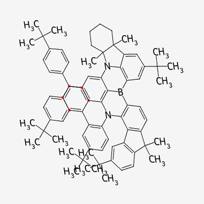 CC(C)(C)c1ccc(C(c2ccc(C(C)(C)C)cc2)c2cc3c4c(c2)N2c5c(cc(C(C)(C)C)cc5C5(C)CCCCC25C)B4c2ccc4c(c2N3c2ccc(C(C)(C)C)cc2-c2ccccc2)-c2cc(C(C)(C)C)ccc2C4(C)C)cc1